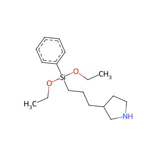 CCO[Si](CCCC1CCNC1)(OCC)c1ccccc1